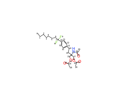 CCCCCCCC(F)(F)c1ccc(CCC(COC(C)=O)(COC(C)=O)NC(C)=O)cc1